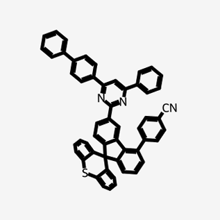 N#Cc1ccc(-c2cccc3c2-c2cc(-c4nc(-c5ccccc5)cc(-c5ccc(-c6ccccc6)cc5)n4)ccc2C32c3ccccc3Sc3ccccc32)cc1